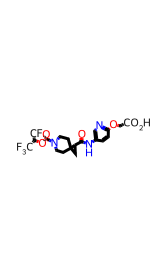 O=C(O)COc1ccc(NC(=O)C2CC23CCN(C(=O)OC(C(F)(F)F)C(F)(F)F)CC3)cn1